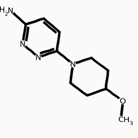 COC1CCN(c2ccc(N)nn2)CC1